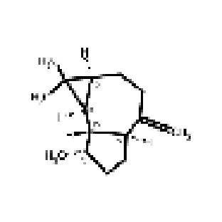 C=C1CC[C@H]2[C@@H]([C@@H]3[C@@H]1CC[C@@H]3C)C2(C)C